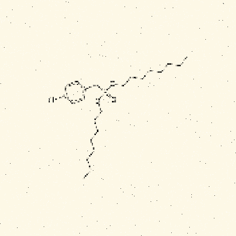 CCCCCCCCOP(=O)(Cc1ccc(Cl)cc1)OCCCCCCCC